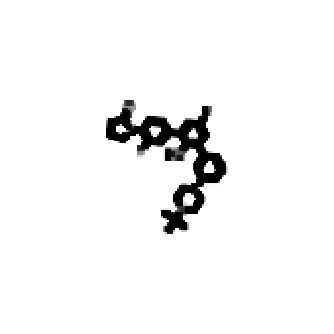 CC(C)(C)N1CCN(c2cccc(-c3cc(F)cc(-c4ccc(N5CCCC5=O)c(F)c4)c3O)c2)CC1